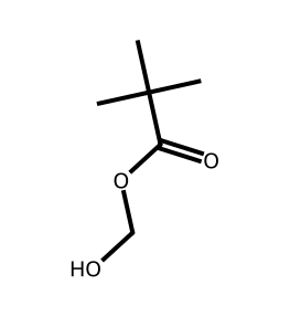 CC(C)(C)C(=O)OCO